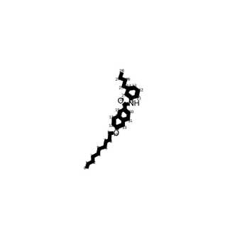 CCCCCCCCCCOc1ccc2cc(C(=O)Nc3[c]ccc(CCCC)c3)ccc2c1